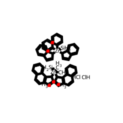 CC1=Cc2ccc3ccccc3c2[CH]1[Zr]([CH3])([CH3])(=[SiH2])[CH]1C(C)=Cc2ccc3ccccc3c21.Cl.Cl.[SiH2]=[Zr]([c]1ccccc1)([c]1ccccc1)([CH]1C=Cc2ccccc21)[CH]1C=Cc2ccccc21